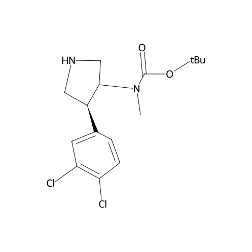 CN(C(=O)OC(C)(C)C)C1CNC[C@@H]1c1ccc(Cl)c(Cl)c1